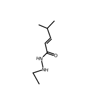 CCNNC(=O)C=CC(C)C